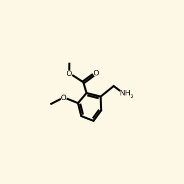 COC(=O)c1c(CN)cccc1OC